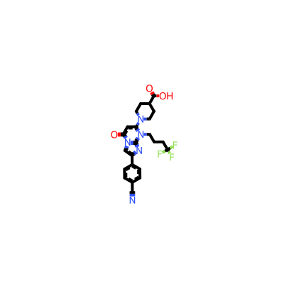 N#Cc1ccc(-c2cn3c(=O)cc(N4CCC(C(=O)O)CC4)n(CCCC(F)(F)F)c3n2)cc1